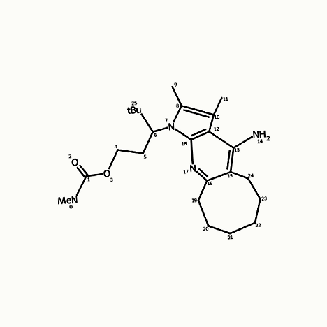 CNC(=O)OCCC(n1c(C)c(C)c2c(N)c3c(nc21)CCCCCC3)C(C)(C)C